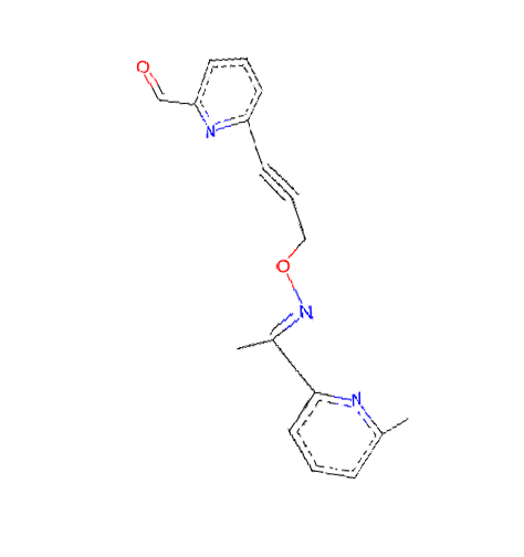 C/C(=N\OCC#Cc1cccc(C=O)n1)c1cccc(C)n1